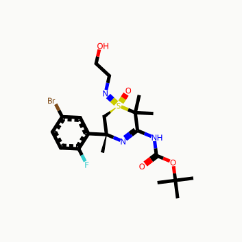 CC(C)(C)OC(=O)NC1=N[C@](C)(c2cc(Br)ccc2F)C[S@](=O)(=NCCO)C1(C)C